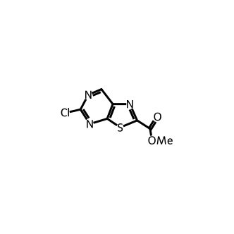 COC(=O)c1nc2cnc(Cl)nc2s1